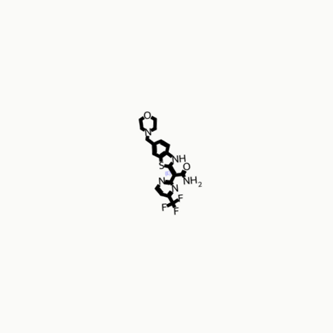 NC(=O)/C(=C1\Nc2ccc(CN3CCOCC3)cc2S1)c1nccc(C(F)(F)F)n1